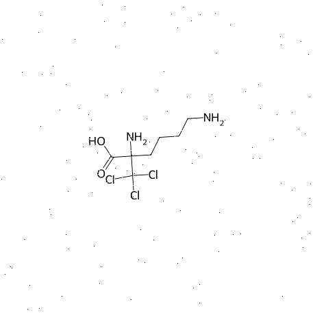 NCCCCC(N)(C(=O)O)C(Cl)(Cl)Cl